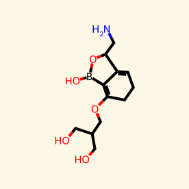 NCC1OB(O)C2=C(OCC(CO)CO)CCC=C21